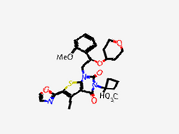 COc1ccccc1C(Cn1c(=O)n(C2(C(=O)O)CCC2)c(=O)c2c(C)c(-c3ncco3)sc21)OC1CCOCC1